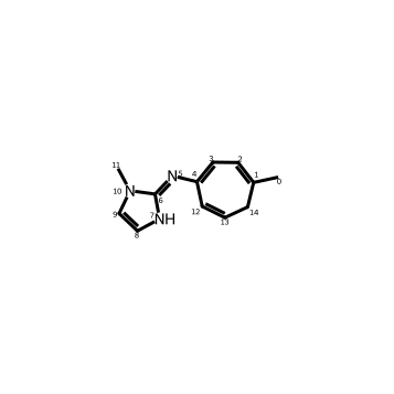 CC1=CC=C(/N=c2\[nH]ccn2C)C=CC1